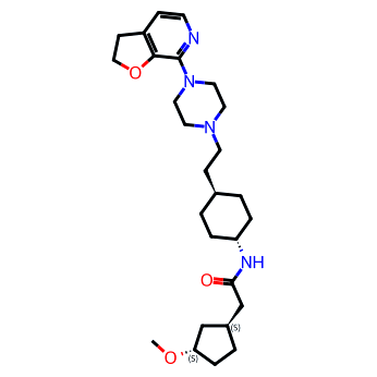 CO[C@H]1CC[C@H](CC(=O)N[C@H]2CC[C@H](CCN3CCN(c4nccc5c4OCC5)CC3)CC2)C1